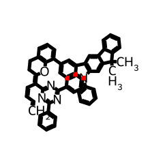 C=C/C=C\C(=C1/CCc2cccc(-c3ccc4c(c3)c3cc5c(cc3n4-c3ccccc3)C(C)(C)c3ccccc3-5)c2O1)c1nc(-c2ccccc2)nc(-c2ccccc2)n1